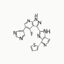 Fc1c(-c2cncnc2)cnc2[nH]nc(-c3nc4c(-c5cccs5)nccc4[nH]3)c12